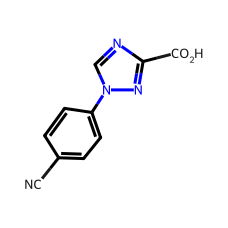 N#Cc1ccc(-n2cnc(C(=O)O)n2)cc1